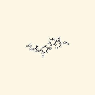 C[C@@H]1COc2c(ncnc2Oc2ccc(NC(=O)NC3CC3)c(Cl)c2)N1